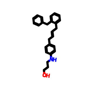 OCCCNc1ccc(CC=CCc2ccccc2Cc2ccccc2)cc1